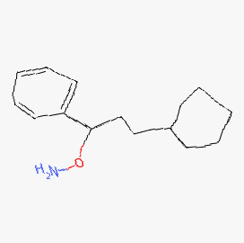 NOC(CCC1CCCCC1)c1ccccc1